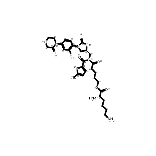 NCCCC[C@H](N)C(=O)SCCCCC(=O)N(C[C@H]1CN(c2ccc(N3CCOCC3=O)cc2F)C(=O)O1)C(=O)c1ccc(Cl)s1